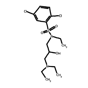 CCN(CC)CC(O)CN(CC)S(=O)(=O)c1cc(Cl)ccc1Cl